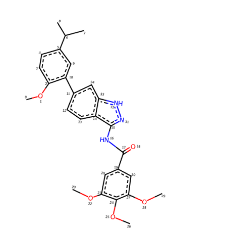 COc1ccc(C(C)C)cc1-c1ccc2c(NC(=O)c3cc(OC)c(OC)c(OC)c3)n[nH]c2c1